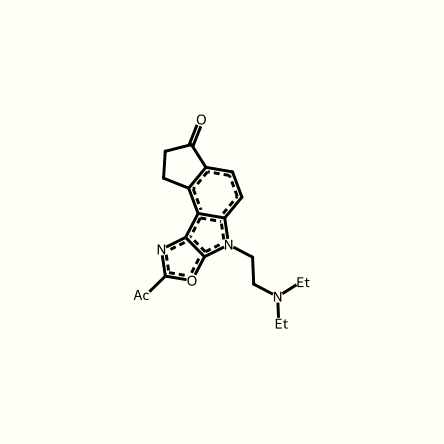 CCN(CC)CCn1c2ccc3c(c2c2nc(C(C)=O)oc21)CCC3=O